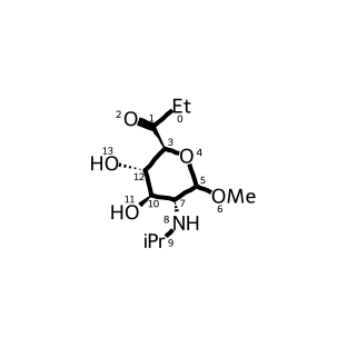 CCC(=O)[C@H]1OC(OC)[C@H](NC(C)C)[C@@H](O)[C@@H]1O